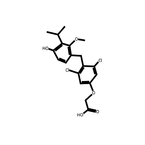 COc1c(Cc2c(Cl)cc(OCC(=O)O)cc2Cl)ccc(O)c1C(C)C